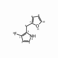 Fc1cc[nH]c1Cc1ccco1